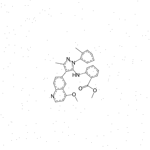 COC(=O)c1ccccc1Nc1c(-c2ccc3nccc(OC)c3c2)c(C)nn1-c1ccccc1C